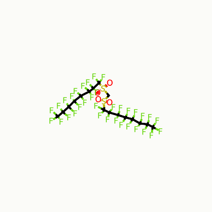 O=S(=O)(CS(=O)(=O)C(F)(F)C(F)(F)C(F)(F)C(F)(F)C(F)(F)C(F)(F)C(F)(F)C(F)(F)F)C(F)(F)C(F)(F)C(F)(F)C(F)(F)C(F)(F)C(F)(F)C(F)(F)C(F)(F)F